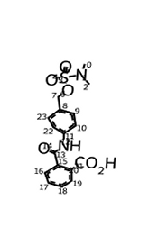 CN(C)S(=O)(=O)OCc1ccc(NC(=O)c2ccccc2C(=O)O)cc1